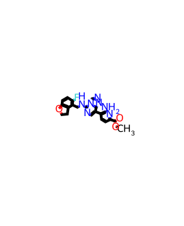 COC(=O)c1ccc(-c2cnc(NCc3c(F)ccc4c3CCO4)n3cnnc23)c(N)n1